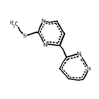 CSc1nccc(-c2cccnn2)n1